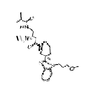 COCCCn1c([C@@H]2CCCN(C(=O)C[C@H](N)CNC(=O)C(C)C)C2)nc2ccccc21